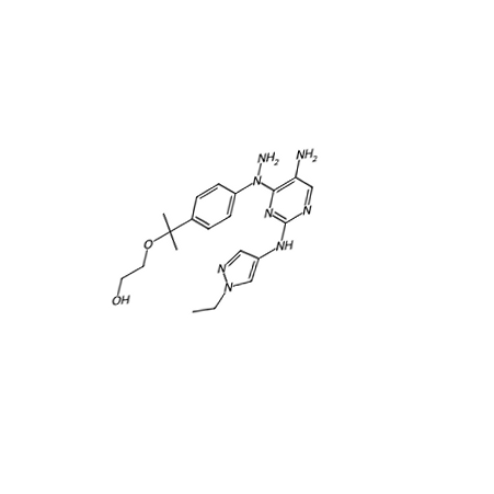 CCn1cc(Nc2ncc(N)c(N(N)c3ccc(C(C)(C)OCCO)cc3)n2)cn1